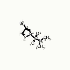 CN(C)S(=O)(=O)n1cc(Br)cn1